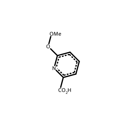 COOc1cccc(C(=O)O)n1